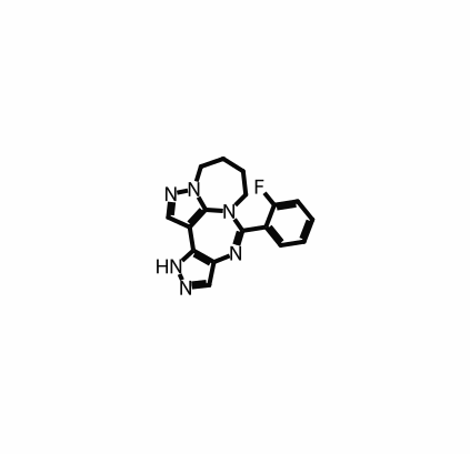 Fc1ccccc1C1=Nc2cn[nH]c2-c2cnn3c2N1CCCC3